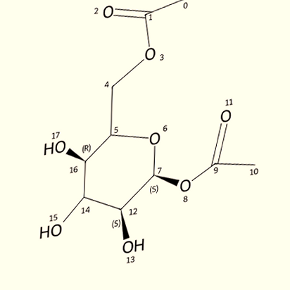 CC(=O)OCC1O[C@@H](OC(C)=O)[C@@H](O)C(O)[C@H]1O